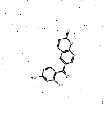 O=C(c1ccc2oc(=O)ccc2c1)c1ccc(O)cc1O